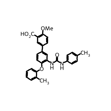 COc1ccc(-c2ccc(Oc3ccccc3C)c(NC(=O)Nc3ccc(C)cc3)c2)cc1C(=O)O